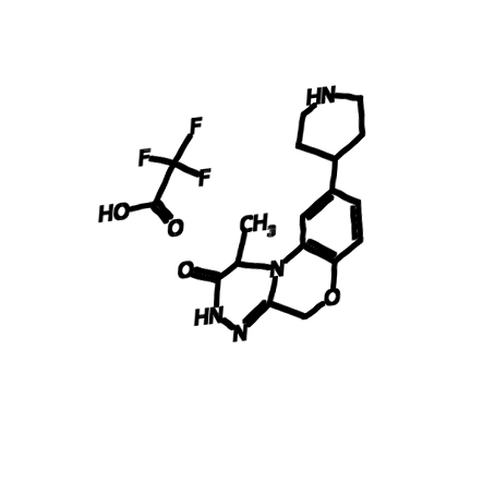 CC1C(=O)NN=C2COc3ccc(C4CCNCC4)cc3N21.O=C(O)C(F)(F)F